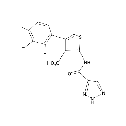 Cc1ccc(-c2csc(NC(=O)c3nn[nH]n3)c2C(=O)O)c(F)c1F